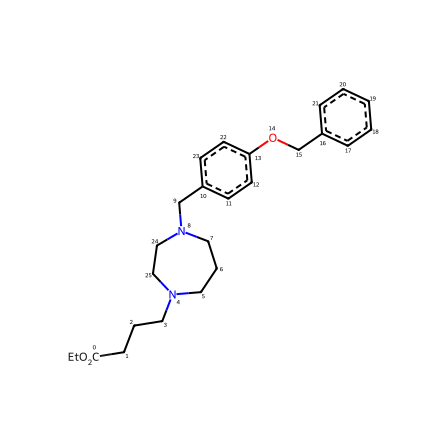 CCOC(=O)CCCN1CCCN(Cc2ccc(OCc3ccccc3)cc2)CC1